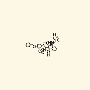 CC(C)CNn1c(=O)c(C2=NS(=O)(=O)c3cc(OCc4ccccc4)ccc3N2)c(O)c2ccccc21